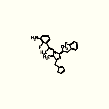 C=c1c(CC2=CC=CC2)n/c(=C(/C)Cc2ccccc2F)n1/C=C(\C)c1cccc(N)c1F